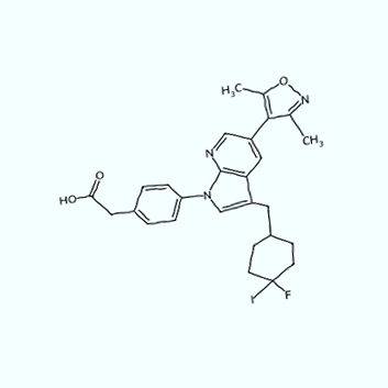 Cc1noc(C)c1-c1cnc2c(c1)c(CC1CCC(F)(I)CC1)cn2-c1ccc(CC(=O)O)cc1